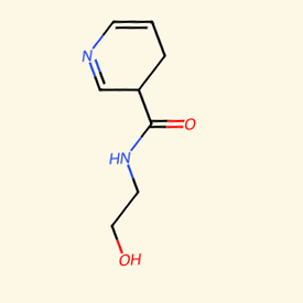 O=C(NCCO)C1C=NC=CC1